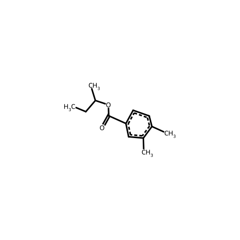 CCC(C)OC(=O)c1ccc(C)c(C)c1